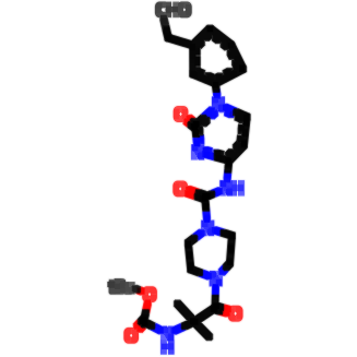 CC(C)(C)OC(=O)NC(C)(C)C(=O)N1CCN(C(=O)Nc2ccn(-c3cccc(CC=O)c3)c(=O)n2)CC1